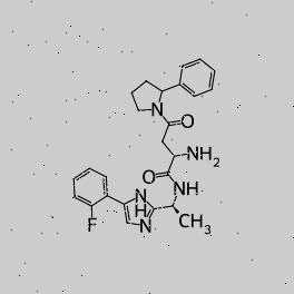 C[C@H](NC(=O)C(N)CC(=O)N1CCCC1c1ccccc1)c1ncc(-c2ccccc2F)[nH]1